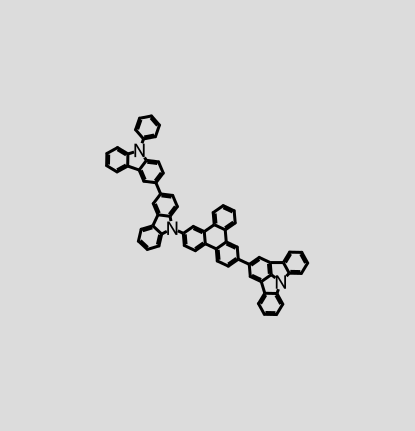 c1ccc(-n2c3ccccc3c3cc(-c4ccc5c(c4)c4ccccc4n5-c4ccc5c6ccc(-c7cc8c9ccccc9n9c%10ccccc%10c(c7)c89)cc6c6ccccc6c5c4)ccc32)cc1